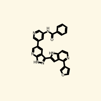 O=C(Nc1cncc(-c2cnc3[nH]nc(-c4cc5c(-c6ccoc6)nccc5[nH]4)c3c2)c1)c1ccccc1